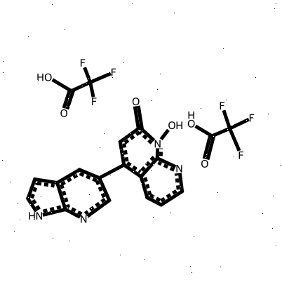 O=C(O)C(F)(F)F.O=C(O)C(F)(F)F.O=c1cc(-c2cnc3[nH]ccc3c2)c2cccnc2n1O